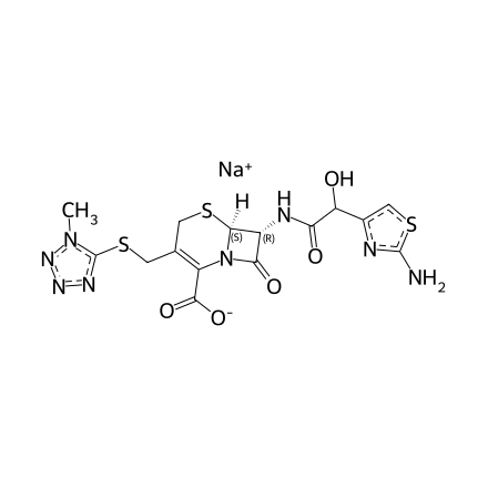 Cn1nnnc1SCC1=C(C(=O)[O-])N2C(=O)[C@@H](NC(=O)C(O)c3csc(N)n3)[C@@H]2SC1.[Na+]